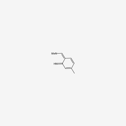 CN/C=C1/C=CC(C)=CC1=N